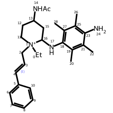 CC[N+]1(C/C=C/c2ccccc2)CCC(NC(C)=O)CC1Nc1c(C)c(C)c(N)c(C)c1C